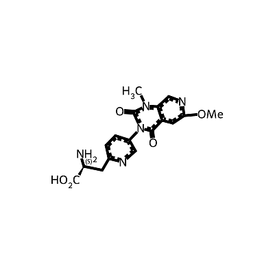 COc1cc2c(=O)n(-c3ccc(C[C@H](N)C(=O)O)nc3)c(=O)n(C)c2cn1